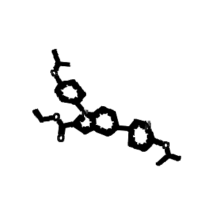 CCOC(=O)c1cc2cc(-c3ccc(OC(C)C)nc3)ccc2n1-c1ccc(OC(C)C)cc1